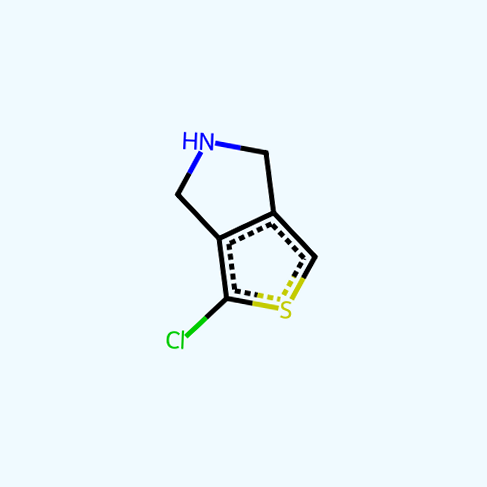 Clc1scc2c1CNC2